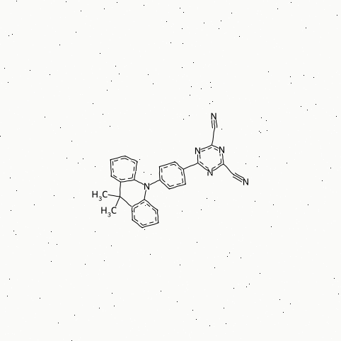 CC1(C)c2ccccc2N(c2ccc(-c3nc(C#N)nc(C#N)n3)cc2)c2ccccc21